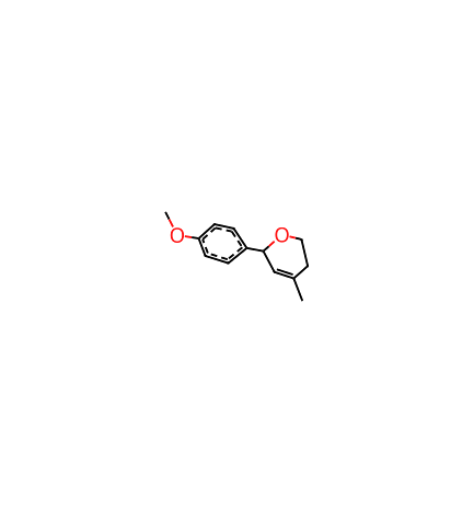 COc1ccc(C2C=C(C)CCO2)cc1